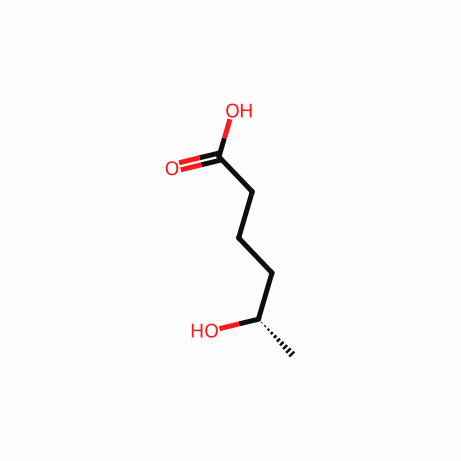 C[C@H](O)CCCC(=O)O